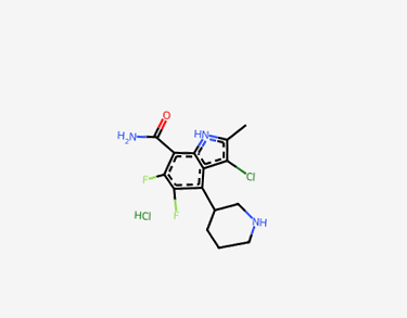 Cc1[nH]c2c(C(N)=O)c(F)c(F)c(C3CCCNC3)c2c1Cl.Cl